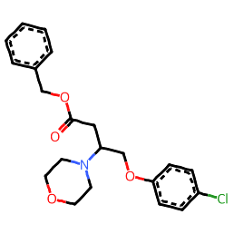 O=C(CC(COc1ccc(Cl)cc1)N1CCOCC1)OCc1ccccc1